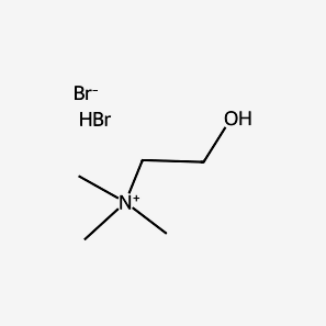 Br.C[N+](C)(C)CCO.[Br-]